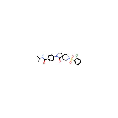 CC(C)NC(=O)c1ccc(N2CCC3(CCN(S(=O)(=O)c4ccccc4Cl)CC3)C2=O)cc1